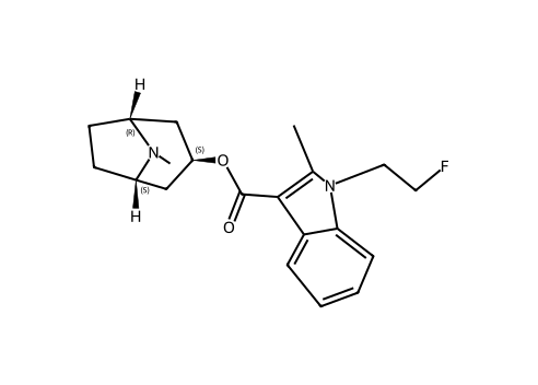 Cc1c(C(=O)O[C@@H]2C[C@H]3CC[C@@H](C2)N3C)c2ccccc2n1CCF